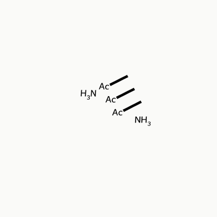 CC(C)=O.CC(C)=O.CC(C)=O.N.N